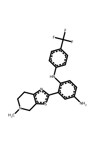 CN1CCc2nc(-c3cc(N)ccc3Nc3ccc(C(F)(F)F)cc3)sc2C1